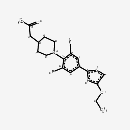 CCOc1csc(-c2cc(F)c(N3CCC(CC(=O)O)CC3)c(F)c2)n1